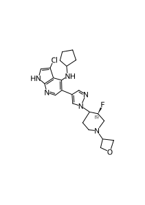 F[C@H]1CN(C2COC2)CCC1n1cc(-c2cnc3[nH]cc(Cl)c3c2NC2CCCC2)cn1